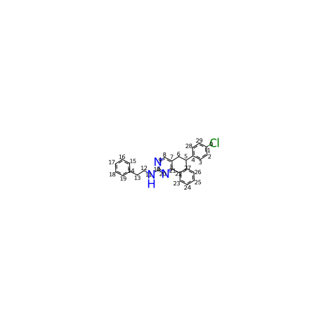 Clc1ccc(C2Cc3cnc(NCCc4ccccc4)nc3-c3ccccc32)cc1